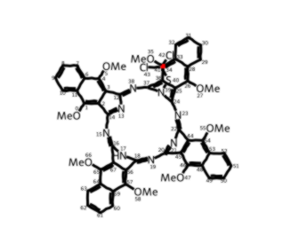 COc1c2c(c(OC)c3ccccc13)-c1nc-2nc2[nH]c(nc3nc(nc4c5c(OC)c6ccccc6c(OC)c5c(n1)n4SI(Cl)Cl)-c1c-3c(OC)c3ccccc3c1OC)c1c(OC)c3ccccc3c(OC)c21